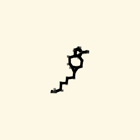 CCn1nnc2c1CCC1C(CCCCCOC(C)=O)C1CC2